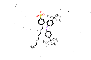 CC(C)(C)c1ccc([I+]c2ccc(C(C)(C)C)cc2)cc1.CCCCCCCCc1ccc(S(=O)(=O)[O-])cc1